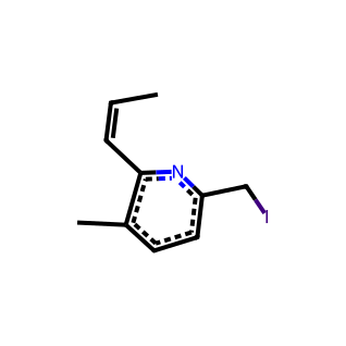 C/C=C\c1nc(CI)ccc1C